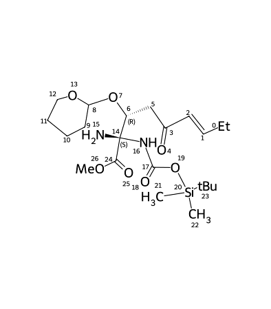 CCC=CC(=O)C[C@@H](OC1CCCCO1)[C@](N)(NC(=O)O[Si](C)(C)C(C)(C)C)C(=O)OC